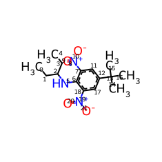 CCC(CC)Nc1c([N+](=O)[O-])cc(C(C)(C)C)cc1[N+](=O)[O-]